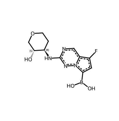 OB(O)c1cc(F)c2cnc(N[C@@H]3CCOC[C@H]3O)nn12